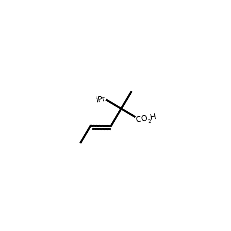 CC=CC(C)(C(=O)O)C(C)C